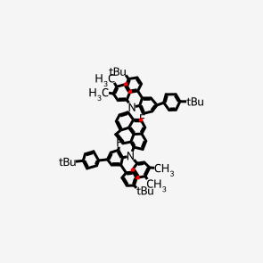 Cc1ccc(N(c2c(F)cc(-c3ccc(C(C)(C)C)cc3)cc2-c2ccc(C(C)(C)C)cc2)c2ccc3ccc4c(N(c5ccc(C)c(C)c5)c5c(F)cc(-c6ccc(C(C)(C)C)cc6)cc5-c5ccc(C(C)(C)C)cc5)ccc5ccc2c3c54)cc1C